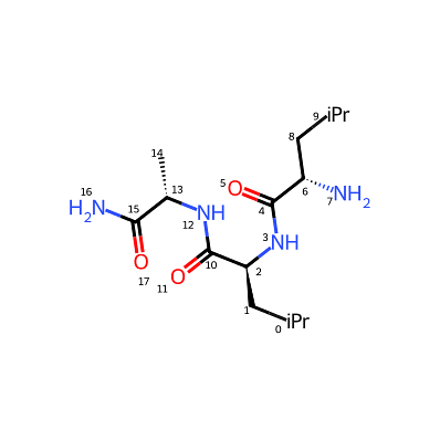 CC(C)C[C@H](NC(=O)[C@@H](N)CC(C)C)C(=O)N[C@@H](C)C(N)=O